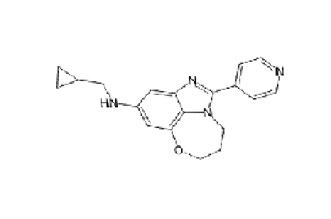 c1cc(-c2nc3cc(NCC4CC4)cc4c3n2CCCO4)ccn1